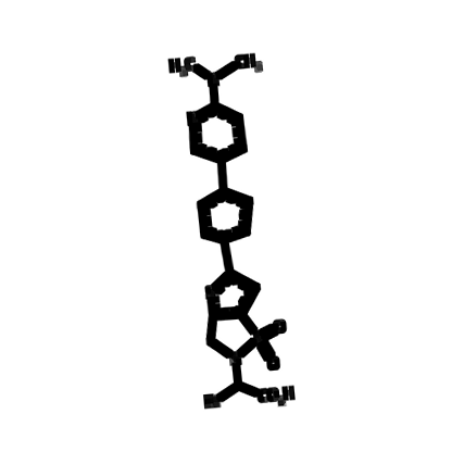 CCC(C(=O)O)N1Cc2sc(-c3ccc(-c4ccc(N(C)C)nc4)cc3)cc2S1(=O)=O